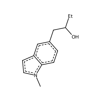 CCC(O)Cc1ccc2c(ccn2C)c1